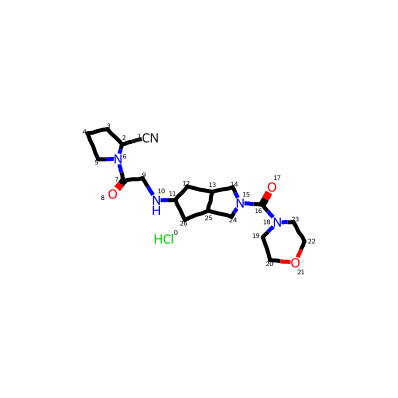 Cl.N#CC1CCCN1C(=O)CNC1CC2CN(C(=O)N3CCOCC3)CC2C1